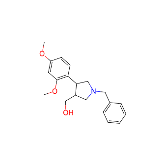 COc1ccc(C2CN(Cc3ccccc3)CC2CO)c(OC)c1